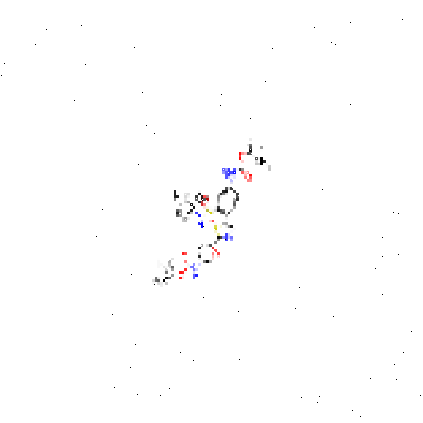 CC(C)OC(=O)Nc1ccc(-c2cnc([C@@H]3CCC(NC(=O)OC(C)C)CO3)s2)c(S(=O)(=O)NC(C)(C)C)c1